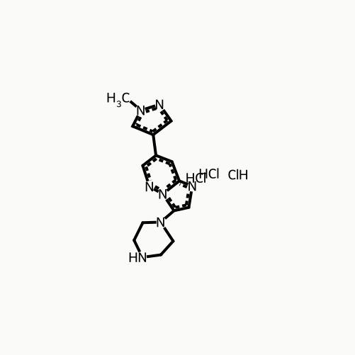 Cl.Cl.Cl.Cn1cc(-c2cnn3c(N4CCNCC4)cnc3c2)cn1